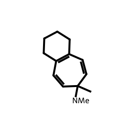 CNC1(C)C=CC2=C(C=C1)CCCC2